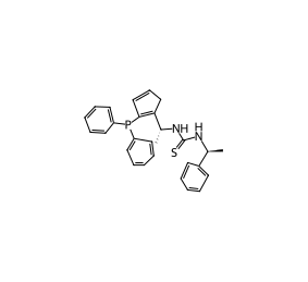 C[C@H](NC(=S)N[C@H](C)C1=C(P(c2ccccc2)c2ccccc2)C=CC1)c1ccccc1